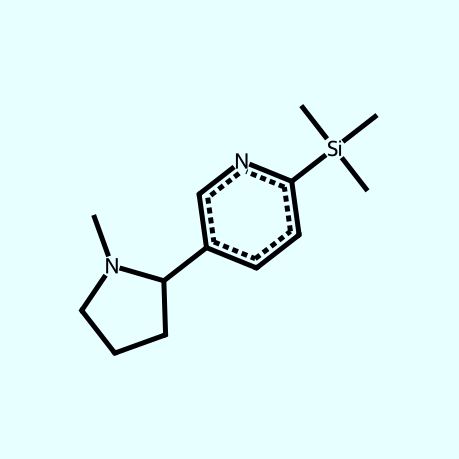 CN1CCCC1c1ccc([Si](C)(C)C)nc1